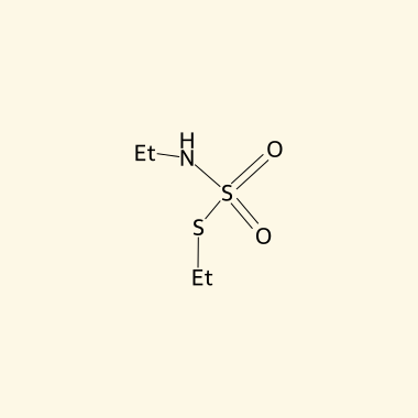 CCNS(=O)(=O)SCC